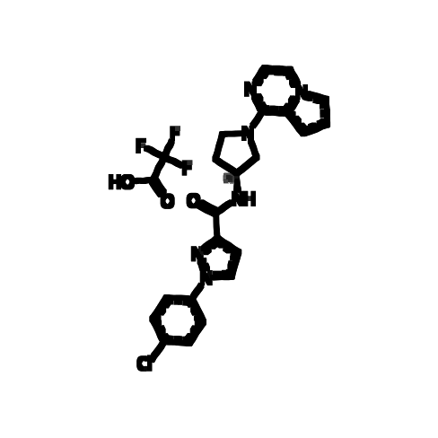 O=C(N[C@H]1CCN(c2nccn3cccc23)C1)c1ccn(-c2ccc(Cl)cc2)n1.O=C(O)C(F)(F)F